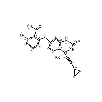 NC(=O)c1c(Cc2ccc3c(c2)NC(=O)N[C@]3(C#CC2CC2)C(F)(F)F)ccnc1N